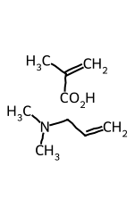 C=C(C)C(=O)O.C=CCN(C)C